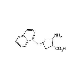 NC1CN(Cc2cccc3ccccc23)CC1C(=O)O